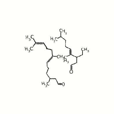 CC(C)=CCCC(C)=CCCC(C)CC=O.CCC(CC=O)C(C)=CCCC(C)C